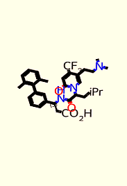 Cc1cccc(C)c1-c1cccc([C@H](CC(=O)O)NC(=O)C(CC(C)C)n2cc(CCN(C)C)c(C(F)(F)F)cc2=O)c1